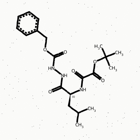 CC(C)C[C@H](NC(=O)C(=O)OC(C)(C)C)C(=O)NNC(=O)OCc1ccccc1